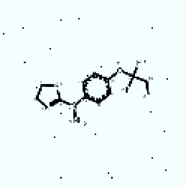 NN(C1=NCCS1)c1ccc(OC(F)(F)CF)cc1